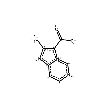 CC(=O)c1c(C)nc2ccncn12